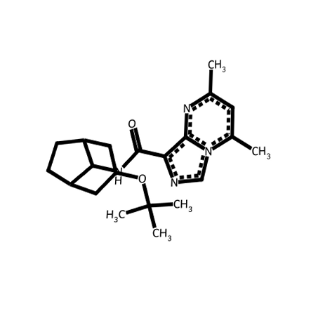 Cc1cc(C)n2cnc(C(=O)NC3C4CCC3CC(OC(C)(C)C)C4)c2n1